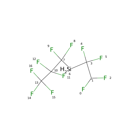 F[C](F)C(F)(F)[SiH2]C(F)(F)C(F)(F)C(F)(F)F